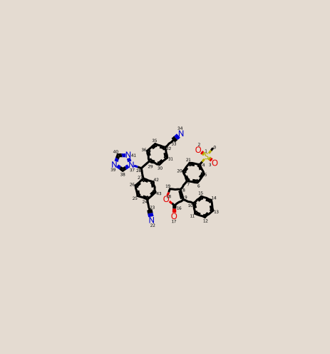 CS(=O)(=O)c1ccc(C2=C(c3ccccc3)C(=O)OC2)cc1.N#Cc1ccc(C(c2ccc(C#N)cc2)n2cncn2)cc1